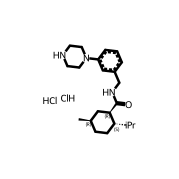 CC(C)[C@@H]1CC[C@@H](C)C[C@H]1C(=O)NCc1cccc(N2CCNCC2)c1.Cl.Cl